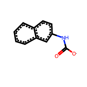 [O]C(=O)Nc1ccc2ccccc2c1